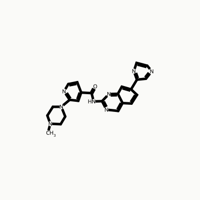 CN1CCN(c2cc(C(=O)Nc3ncc4ccc(-c5cnccn5)cc4n3)ccn2)CC1